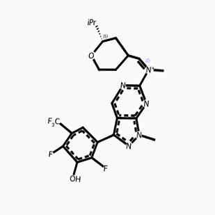 CC(C)[C@@H]1CC(/C=[N+](/C)c2ncc3c(-c4cc(C(F)(F)F)c(F)c(O)c4F)nn(C)c3n2)CCO1